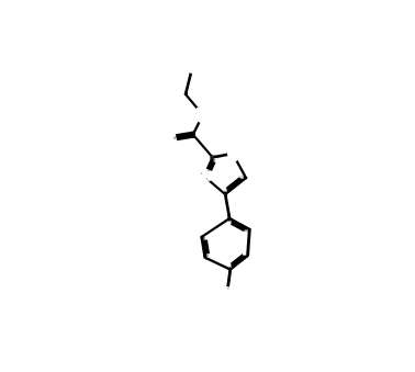 CCOC(=O)c1nc(-c2ccc(O)cc2)cs1